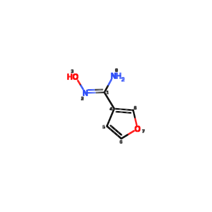 N/C(=N\O)c1ccoc1